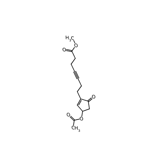 COC(=O)CCC#CCCC1=CC(OC(C)=O)CC1=O